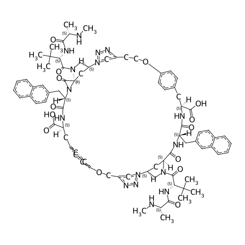 CN[C@@H](C)C(=O)N[C@H](C(=O)N1C[C@@H]2C[C@H]1C(=O)N[C@@H](Cc1ccc3ccccc3c1)C(=O)N[C@H](C(=O)O)Cc1ccc(cc1)OCCc1cn(nn1)[C@@H]1CN(C(=O)[C@@H](NC(=O)[C@H](C)NC)C(C)(C)C)[C@@]3(C1)C(=O)N3[C@@H](Cc1ccc3ccccc3c1)C(=O)N[C@H](C(=O)O)Cc1ccc(cc1)OCc1cn2nn1)C(C)(C)C